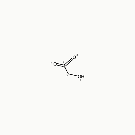 O=I(=O)CO